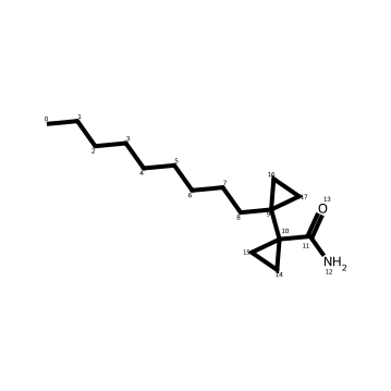 CCCCCCCCCC1(C2(C(N)=O)CC2)CC1